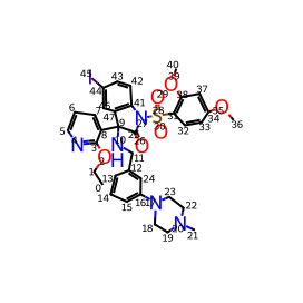 CCOc1ncccc1C1(NCc2cccc(N3CCN(C)CC3)c2)C(=O)N(S(=O)(=O)c2ccc(OC)cc2OC)c2ccc(I)cc21